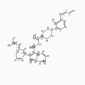 C=C/C=C\c1cccc(C2CCN(C(=O)CNc3c(C(/C=C\C)=C/C=C/N(C)C)nc4cnccn34)CC2)c1C